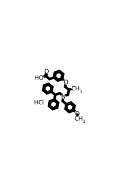 COc1ccc(CN(CC(C)COc2cccc(CC(=O)O)c2)CC(c2ccccc2)c2ccccc2)cc1.Cl